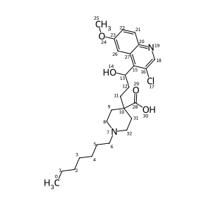 CCCCCCCN1CCC(CCC(O)c2c(Cl)cnc3ccc(OC)cc23)(C(=O)O)CC1